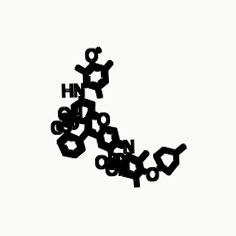 COc1c(C)cc(C)c(Nc2ccc3c(-c4ccccc4S(=O)(=O)O)c4cc(S(=O)(=O)O)/c(=N\c5c(C)cc(C)c(OC6CCC(C)CC6)c5C)cc-4oc3c2)c1C